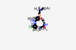 CNc1cc(OCCCN(C)CCOC(C)=O)c2cc1C(=N)Nc1cc(Cl)c(F)cc1CN(C)[C@H](C)C(=O)NCCCO2